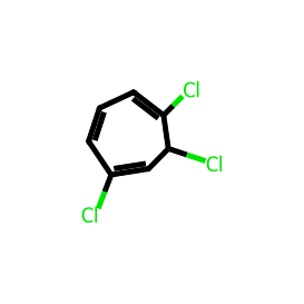 ClC1=CC(Cl)C(Cl)=CC=C1